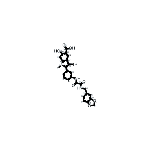 Cn1c(-c2cccc(NC(=O)C(=O)NCc3ccc4c(c3)OCO4)c2)c(I)c2cc(C(=O)O)c(O)cc21